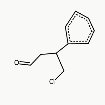 O=CCC(CCl)c1ccccc1